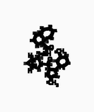 Cc1cccc(-c2sc(C)nc2C(=O)N2C[C@@H]3C[C@@H]3[C@H]2CNC(=O)c2cccc3ccccc23)c1